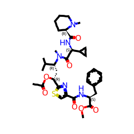 COC(=O)[C@H](Cc1ccccc1)NC(=O)c1csc([C@@H](C[C@H](C(C)C)N(C)C(=O)[C@@H](NC(=O)[C@H]2CCCCN2C)C2CC2)OC(C)=O)n1